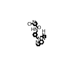 O=C(NCc1cccc(CN(Cc2ncc[nH]2)C2CCCc3cccnc32)c1)c1ccnc(Cl)c1